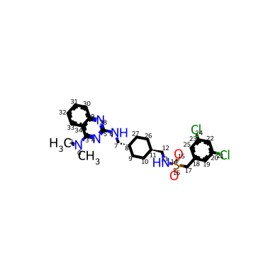 CN(C)c1nc(NC[C@H]2CC[C@H](CNS(=O)(=O)Cc3cc(Cl)cc(Cl)c3)CC2)nc2ccccc12